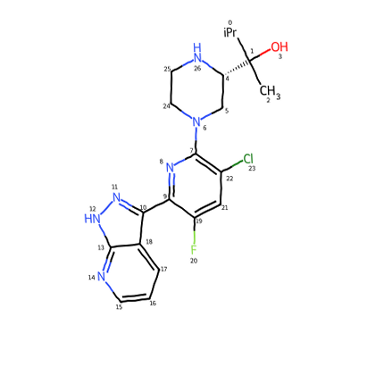 CC(C)C(C)(O)[C@@H]1CN(c2nc(-c3n[nH]c4ncccc34)c(F)cc2Cl)CCN1